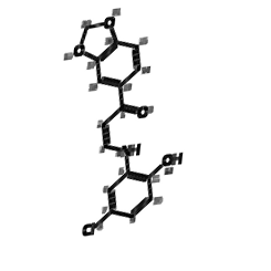 O=C(/C=C\Nc1cc(Cl)ccc1O)c1ccc2c(c1)OCO2